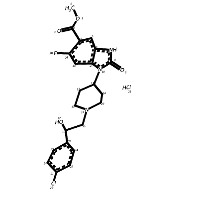 COC(=O)c1cc2[nH]c(=O)n(C3CCN(CC(O)c4ccc(Cl)cc4)CC3)c2cc1F.Cl